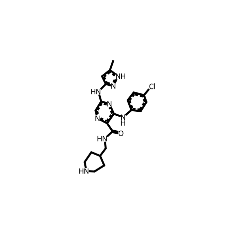 Cc1cc(Nc2cnc(C(=O)NCC3CCNCC3)c(Nc3ccc(Cl)cc3)n2)n[nH]1